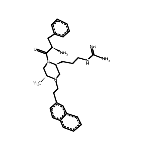 C[C@@H]1CN(C(=O)[C@H](N)Cc2ccccc2)[C@@H](CCCNC(=N)N)CN1CCc1ccc2ccccc2c1